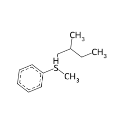 CCC(C)C[SH](C)c1ccccc1